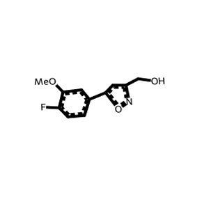 COc1cc(-c2cc(CO)no2)ccc1F